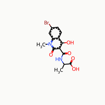 CC(NC(=O)c1c(O)c2ccc(Br)cc2n(C)c1=O)C(=O)O